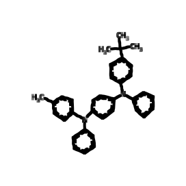 Cc1ccc(N(c2ccccc2)c2ccc(N(c3ccccc3)c3ccc(C(C)(C)C)cc3)cc2)cc1